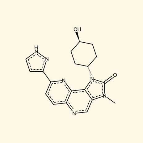 Cn1c(=O)n([C@H]2CC[C@H](O)CC2)c2c3nc(-c4cc[nH]n4)ccc3ncc21